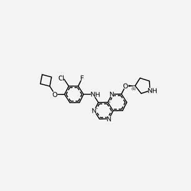 Fc1c(Nc2ncnc3ccc(O[C@H]4CCNC4)nc23)ccc(OC2CCC2)c1Cl